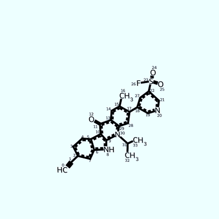 C#Cc1ccc2c(c1)[nH]c1c2c(=O)c2cc(C)c(-c3cncc(S(=O)(=O)F)c3)cc2n1C(C)C